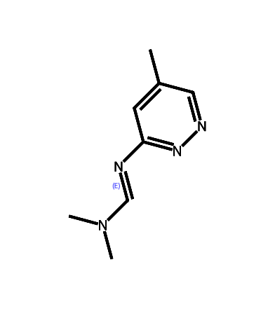 Cc1cnnc(/N=C/N(C)C)c1